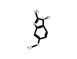 CC[C@@H]1C(C)=Nc2cc(OC(F)(F)F)ccc21